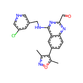 Cc1noc(C)c1-c1ccc2nc(C=O)nc(NCc3cncc(Cl)c3)c2c1